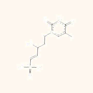 Cc1cn(CCC(O)/C=C/P(=O)(O)O)c(=O)[nH]c1=O